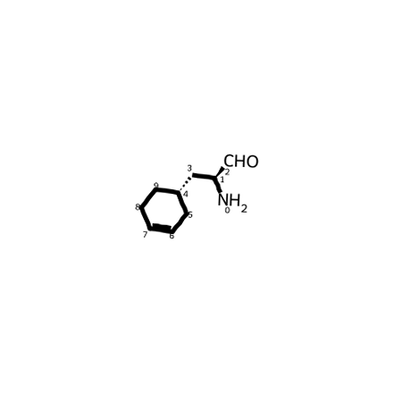 N[C@H](C=O)C[C@@H]1CC=CCC1